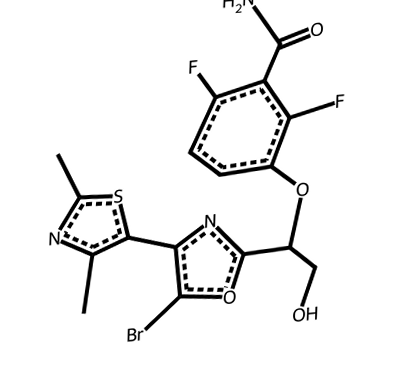 Cc1nc(C)c(-c2nc(C(CO)Oc3ccc(F)c(C(N)=O)c3F)oc2Br)s1